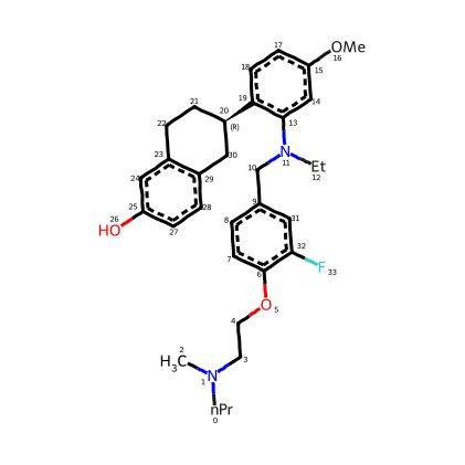 CCCN(C)CCOc1ccc(CN(CC)c2cc(OC)ccc2[C@@H]2CCc3cc(O)ccc3C2)cc1F